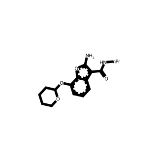 CCCNC(=O)c1c(N)oc2c(OC3CCCCO3)cccc12